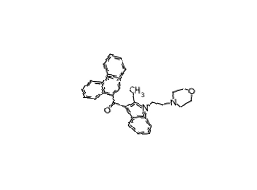 Cc1c(C(=O)c2cc3ccccc3c3ccccc23)c2ccccc2n1CCN1CCOCC1